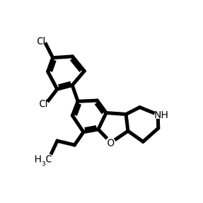 CCCc1cc(-c2ccc(Cl)cc2Cl)cc2c1OC1CCNCC21